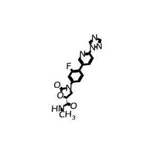 CNC(=O)[C@H]1CN(c2ccc(-c3ccc(-n4cncn4)nc3)c(F)c2)C(=O)O1